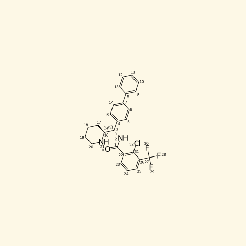 O=C(N[C@@H](c1ccc(-c2ccccc2)cc1)[C@@H]1CCCCN1)c1cccc(C(F)(F)F)c1Cl